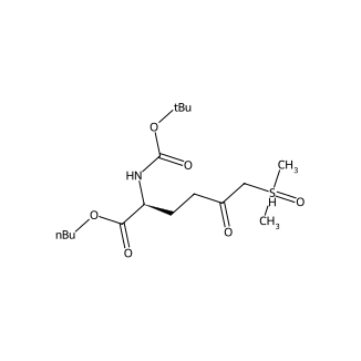 CCCCOC(=O)[C@H](CCC(=O)C[SH](C)(C)=O)NC(=O)OC(C)(C)C